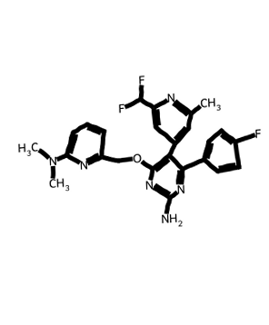 Cc1cc(-c2c(OCc3cccc(N(C)C)n3)nc(N)nc2-c2ccc(F)cc2)cc(C(F)F)n1